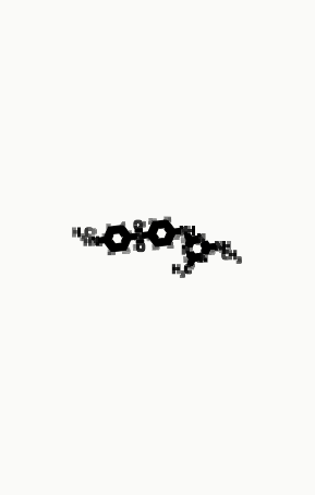 CNc1ccc(S(=O)(=O)c2ccc(Nc3nc(C)nc(NC)n3)cc2)cc1